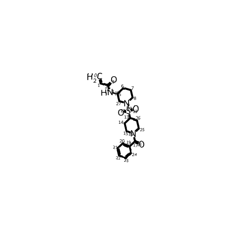 C=CC(=O)N[C@H]1CCCN(S(=O)(=O)C2CCN(C(=O)c3ccccc3)CC2)C1